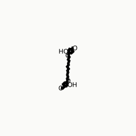 O=Cc1ccc(OCCCCCCCCCCCCOc2ccc(C=O)cc2O)c(O)c1